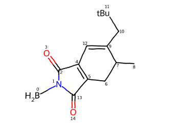 BN1C(=O)C2=C(CC(C)C(CC(C)(C)C)=C2)C1=O